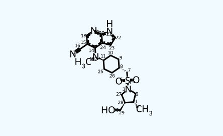 C[C@H]1CN(S(=O)(=O)C[C@H]2CC[C@H](N(C)c3c(C#N)cnc4[nH]ccc34)CC2)C[C@@H]1CO